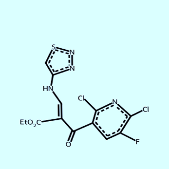 CCOC(=O)C(=CNc1csnn1)C(=O)c1cc(F)c(Cl)nc1Cl